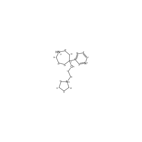 c1cncc(C2(OCCN3CCCC3)CCCNCC2)c1